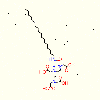 CCCCCCCCCCCCCCCCCCNC(=O)CN(CC(=O)O)CC(CCN(CC(=O)O)CC(=O)O)NCC(=O)O